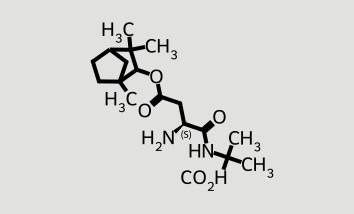 CC(C)(NC(=O)[C@@H](N)CC(=O)OC1C2(C)CCC(C2)C1(C)C)C(=O)O